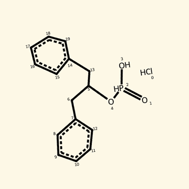 Cl.O=[PH](O)OC(Cc1ccccc1)Cc1ccccc1